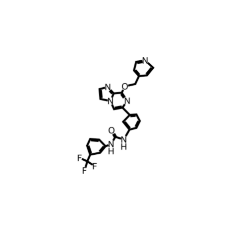 O=C(Nc1cccc(-c2cn3ccnc3c(OCc3ccncc3)n2)c1)Nc1cccc(C(F)(F)F)c1